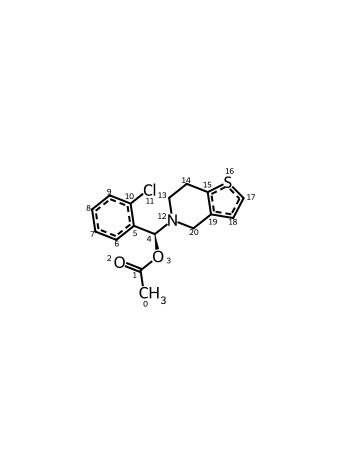 CC(=O)O[C@@H](c1ccccc1Cl)N1CCc2sccc2C1